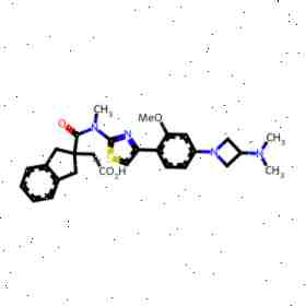 COc1cc(N2CC(N(C)C)C2)ccc1-c1csc(N(C)C(=O)C2(CC(=O)O)Cc3ccccc3C2)n1